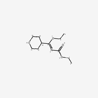 CCOC(=O)N=C(OCC)C1CCOCC1